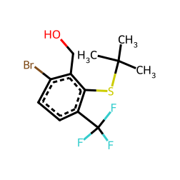 CC(C)(C)Sc1c(C(F)(F)F)ccc(Br)c1CO